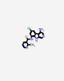 Cc1ncccc1C(=O)Nc1cc(Cl)cc2c1[nH]c1cncc(N)c12